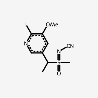 COc1cc(C(C)S(C)(=O)=NC#N)cnc1I